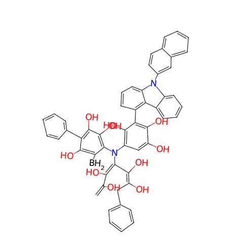 Bc1c(O)c(-c2ccccc2)c(O)c(O)c1N(C(=C(\O)C(=C)O)/C(O)=C(/O)Cc1ccccc1)c1cc(O)c(O)c(-c2cccc3c2c2ccccc2n3-c2ccc3ccccc3c2)c1O